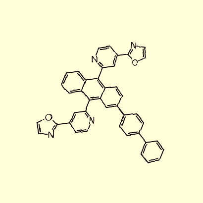 c1ccc(-c2ccc(-c3ccc4c(-c5cc(-c6ncco6)ccn5)c5ccccc5c(-c5cc(-c6ncco6)ccn5)c4c3)cc2)cc1